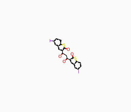 O=C(CC(=O)c1cc2cc(I)ccc2sc1=O)c1cc2cc(I)ccc2sc1=O